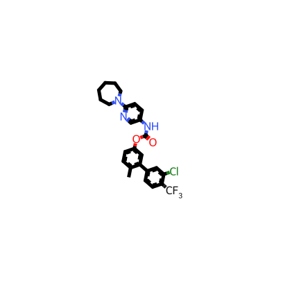 Cc1ccc(OC(=O)Nc2ccc(N3CCCCCC3)nc2)cc1-c1ccc(C(F)(F)F)c(Cl)c1